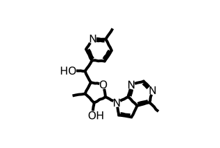 Cc1ccc(C(O)C2OC(n3ccc4c(C)ncnc43)C(O)C2C)cn1